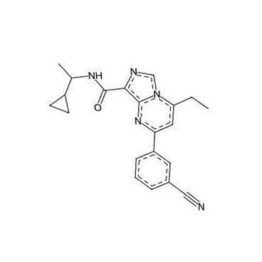 CCc1cc(-c2cccc(C#N)c2)nc2c(C(=O)NC(C)C3CC3)ncn12